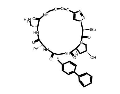 CC(C)[C@H]1NC(=O)[C@@H](Cc2ccc(-c3ccccc3)cc2)NC(=O)[C@@H]2C[C@@H](O)CN2C(=O)[C@H](C(C)(C)C)n2cc(nn2)COCCNC(=O)[C@@H](CN)NC1=O